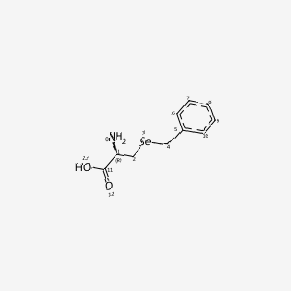 N[C@@H](C[Se]Cc1ccccc1)C(=O)O